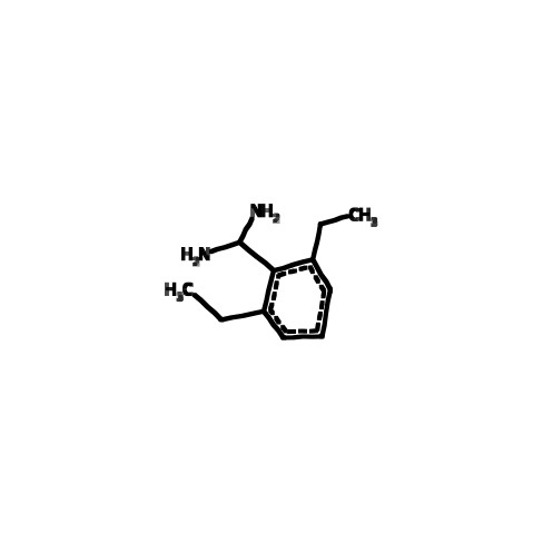 CCc1cccc(CC)c1C(N)N